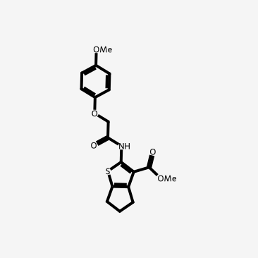 COC(=O)c1c(NC(=O)COc2ccc(OC)cc2)sc2c1CCC2